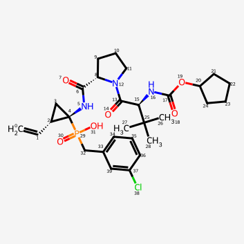 C=C[C@@H]1C[C@]1(NC(=O)[C@@H]1CCCN1C(=O)[C@@H](NC(=O)OC1CCCC1)C(C)(C)C)P(=O)(O)Cc1cccc(Cl)c1